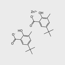 Cc1cc(C(C)(C)C)cc(C(=O)[O-])c1O.Cc1cc(C(C)(C)C)cc(C(=O)[O-])c1O.[Zn+2]